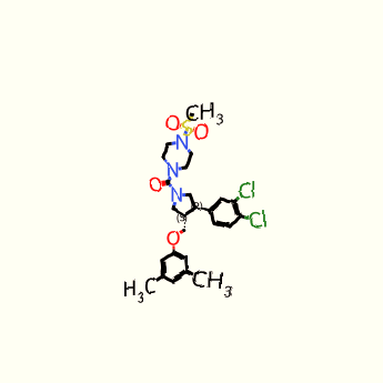 Cc1cc(C)cc(OC[C@@H]2CN(C(=O)N3CCN(S(C)(=O)=O)CC3)C[C@H]2c2ccc(Cl)c(Cl)c2)c1